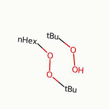 CC(C)(C)OO.CCCCCCOOC(C)(C)C